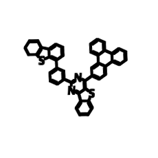 C1=Cc2c(sc3c(-c4cccc(-c5nc(-c6ccc7c8ccccc8c8ccccc8c7c6)c6sc7ccccc7c6n5)c4)cccc23)CC1